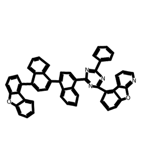 c1ccc(-c2nc(-c3ccc(-c4ccc(-c5cccc6oc7ccccc7c56)c5ccccc45)c4ccccc34)nc(-c3cccc4oc5ncccc5c34)n2)cc1